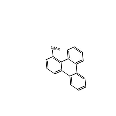 CNc1cccc2c3ccccc3c3ccccc3c12